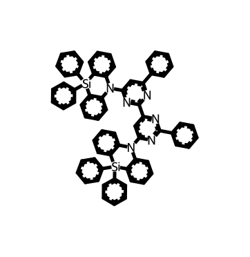 c1ccc(-c2cc(N3c4ccccc4[Si](c4ccccc4)(c4ccccc4)c4ccccc43)nc(-c3cc(N4c5ccccc5[Si](c5ccccc5)(c5ccccc5)c5ccccc54)nc(-c4ccccc4)n3)n2)cc1